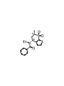 CCN(C(=O)c1ccccc1)[C@@H]1C[C@@H](C)S(=O)(=O)c2sccc21